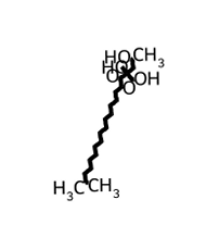 CC(C)CCCCCCCCCCCCCCC(=O)C(O)(CC(C)O)C(=O)O